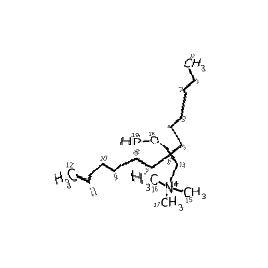 CCCCCCC(CCCCCC)(C[N+](C)(C)C)O[PH-]